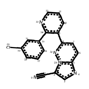 N#Cc1cnc2ccc(-c3cccnc3-c3cccc(Cl)c3)nn12